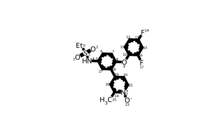 CCS(=O)(=O)Nc1ccc(Oc2ccc(F)cc2F)c(-c2cc[n+]([O-])c(C)c2)c1